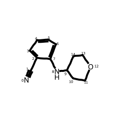 N#Cc1ccccc1NC1CCOCC1